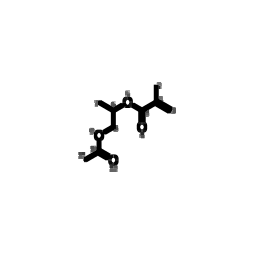 C=C(C)C(=O)OC(C)COC(C)=O